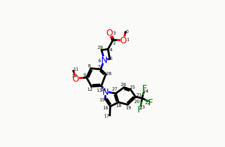 COC(=O)C1CN(c2cc(OC)cc(-n3cc(C)c4cc(C(F)(F)F)ccc43)c2)C1